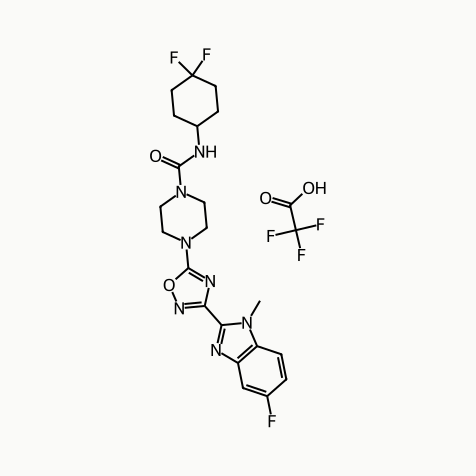 Cn1c(-c2noc(N3CCN(C(=O)NC4CCC(F)(F)CC4)CC3)n2)nc2cc(F)ccc21.O=C(O)C(F)(F)F